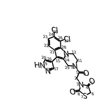 O=C(CN1C(=O)CSC1=O)N1CCn2c(c(-c3cn[nH]c3)c3ccc(Cl)c(Cl)c32)C1